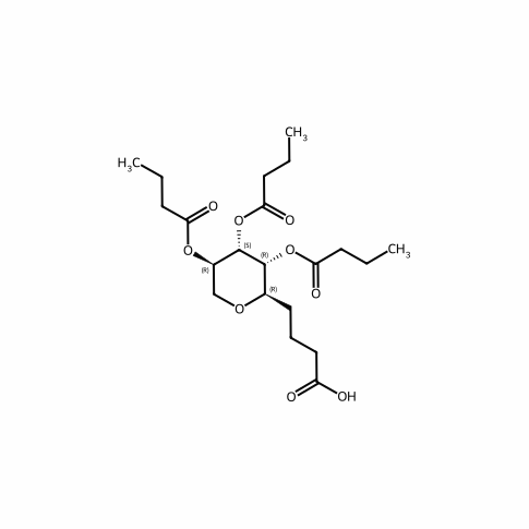 CCCC(=O)O[C@@H]1[C@H](OC(=O)CCC)[C@@H](CCCC(=O)O)OC[C@H]1OC(=O)CCC